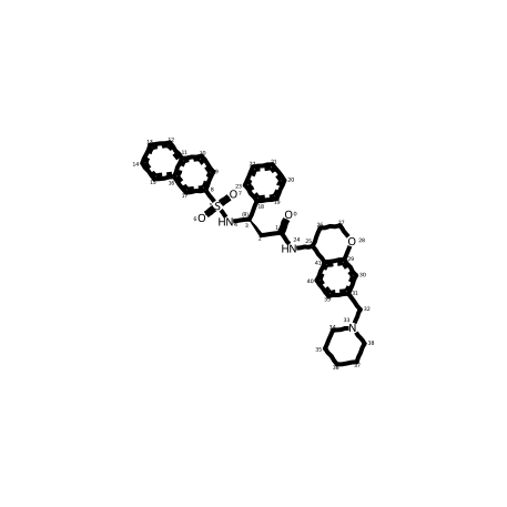 O=C(C[C@@H](NS(=O)(=O)c1ccc2ccccc2c1)c1ccccc1)NC1CCOc2cc(CN3CCCCC3)ccc21